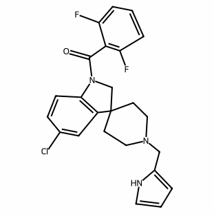 O=C(c1c(F)cccc1F)N1CC2(CCN(Cc3ccc[nH]3)CC2)c2cc(Cl)ccc21